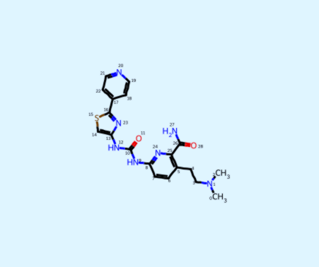 CN(C)CCc1ccc(NC(=O)Nc2csc(-c3ccncc3)n2)nc1C(N)=O